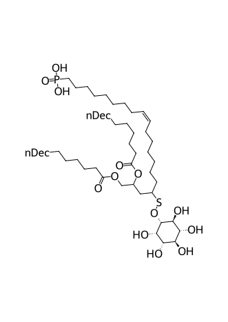 CCCCCCCCCCCCCCCC(=O)OCC(CC(CCCCCC/C=C\CCCCCCCCP(=O)(O)O)SO[C@@H]1[C@@H](O)[C@H](O)[C@@H](O)[C@H](O)[C@@H]1O)OC(=O)CCCCCCCCCCCCCCC